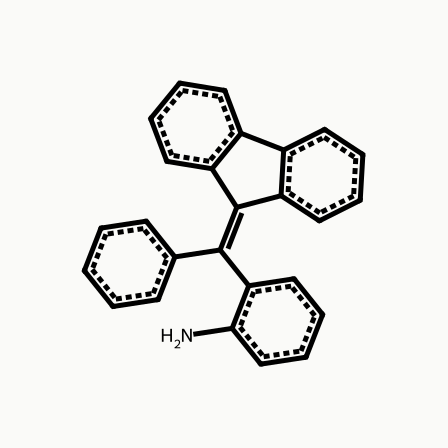 Nc1ccccc1C(=C1c2ccccc2-c2ccccc21)c1ccccc1